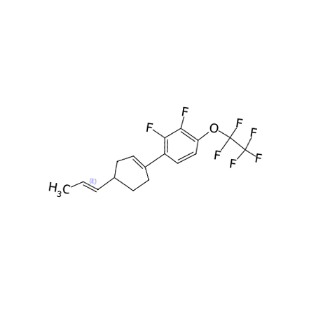 C/C=C/C1CC=C(c2ccc(OC(F)(F)C(F)(F)F)c(F)c2F)CC1